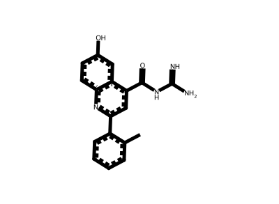 Cc1ccccc1-c1cc(C(=O)NC(=N)N)c2cc(O)ccc2n1